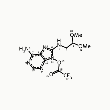 COC(CNc1nc2c(N)ncnc2n1OC(=O)C(F)(F)F)OC